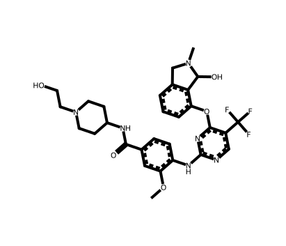 COc1cc(C(=O)NC2CCN(CCO)CC2)ccc1Nc1ncc(C(F)(F)F)c(Oc2cccc3c2C(O)N(C)C3)n1